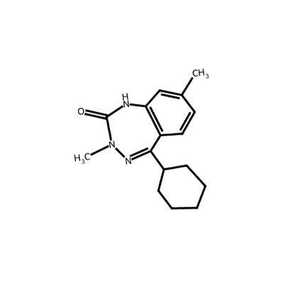 Cc1ccc2c(c1)NC(=O)N(C)N=C2C1CCCCC1